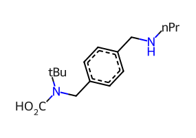 CCCNCc1ccc(CN(C(=O)O)C(C)(C)C)cc1